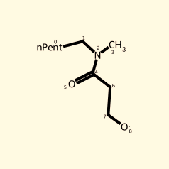 CCCCCCN(C)C(=O)CC[O]